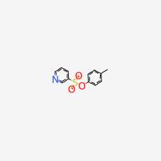 Cc1ccc(OS(=O)(=O)c2cccnc2)cc1